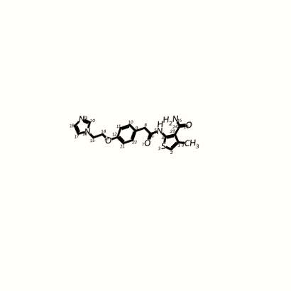 Cc1csc(NC(=O)Cc2ccc(OCCn3ccnc3)cc2)c1C(N)=O